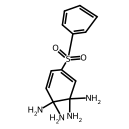 NC1(N)C=CC(S(=O)(=O)c2ccccc2)=CC1(N)N